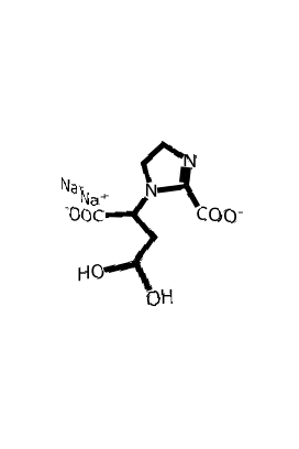 O=C([O-])C1=NCCN1C(CC(O)O)C(=O)[O-].[Na+].[Na+]